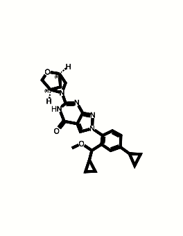 COC(c1cc(C2CC2)ccc1-n1cc2c(=O)[nH]c(N3C[C@H]4C[C@@H]3CO4)nc2n1)C1CC1